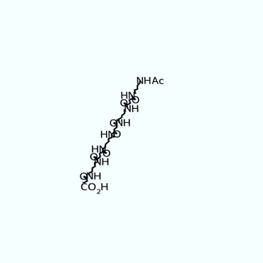 CC(=O)NCCCCCNC(=O)CCC(=O)NCCCCCNC(=O)CCC(=O)NCCCCCNC(=O)CCC(=O)NCCCCCNC(=O)CCC(=O)O